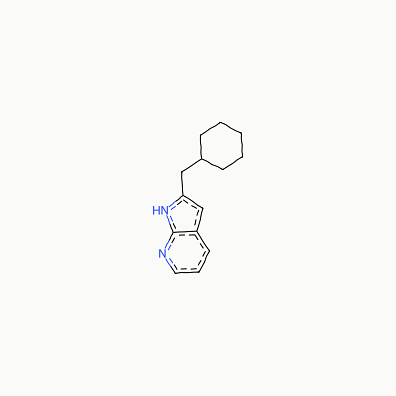 c1cnc2[nH]c(CC3CCCCC3)cc2c1